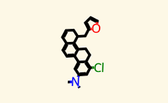 CN(C)c1cc(Cl)c2c(c1)-c1ccc3c(c1CC2)C(Cc1ccco1)CC=C3